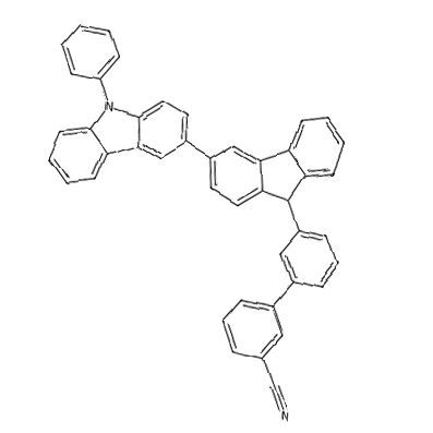 N#Cc1cccc(-c2cccc(C3c4ccccc4-c4cc(-c5ccc6c(c5)c5ccccc5n6-c5ccccc5)ccc43)c2)c1